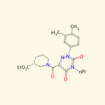 CCCn1c(=O)c(C(=O)N2CCCC(C(=O)OCC)C2)nn(-c2ccc(C)c(C)c2)c1=O